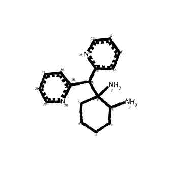 NC1CCCCC1(N)C(c1ccccn1)c1ccccn1